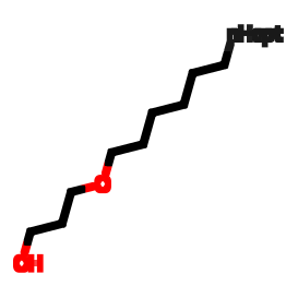 CCCCCCCCCCCCCOCCCO